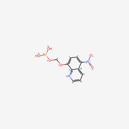 O=[N+]([O-])c1ccc(OCOP(O)O)c2ncccc12